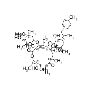 CO[C@]1(C)CC(O[C@@H]2[C@H](C)[C@@H](OC3O[C@H](C)C[C@H](N(C)Cc4ccc(C)cc4)[C@H]3O)[C@@](C)(OC)C[C@@H](C)C(=O)[C@H](C)[C@@H](O)[C@@]3(O)C(C)C3OC(=O)[C@@H]2C)O[C@@H](C)[C@@H]1O